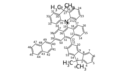 CC1(C)c2ccccc2-c2cc(-c3c4ccccc4c(N4c5ccccc5C(C)(C)c5ccccc54)c4ccc(-c5ccc6ccccc6c5)cc34)ccc21